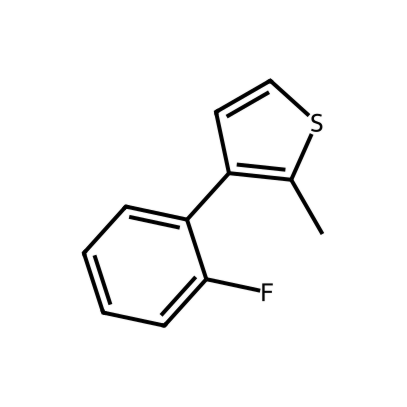 Cc1sccc1-c1ccccc1F